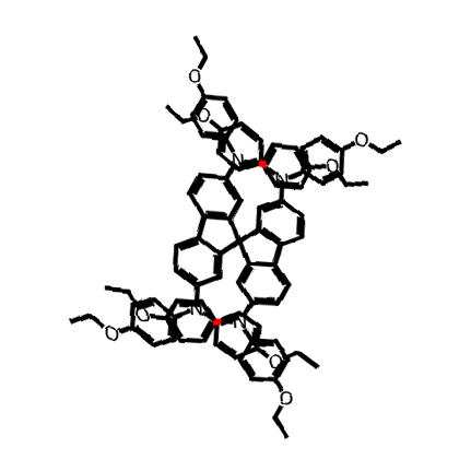 CCOc1ccc(N(c2ccc(OCC)cc2)c2ccc3c(c2)C2(c4cc(N(c5ccc(OCC)cc5)c5ccc(OCC)cc5)ccc4-3)c3cc(N(c4ccc(OCC)cc4)c4ccc(OCC)cc4)ccc3-c3ccc(N(c4ccc(OCC)cc4)c4ccc(OCC)cc4)cc32)cc1